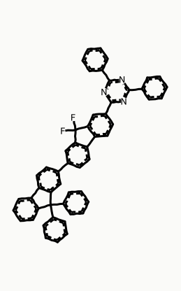 FC1(F)c2cc(-c3ccc4c(c3)C(c3ccccc3)(c3ccccc3)c3ccccc3-4)ccc2-c2ccc(-c3nc(-c4ccccc4)nc(-c4ccccc4)n3)cc21